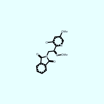 CON=C(CN1C(=O)c2ccccc2C1=O)c1ncc(OC)cc1Cl